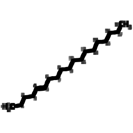 [CH2]CCC/C=C/CCCCCCCCCCCCC